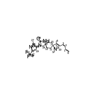 C=C/C=C\C=C(/C)[C@]1(N(C)C)CC[C@@]2(CC1)CN(c1cc(C(F)(F)F)nn1C)C(=O)N2